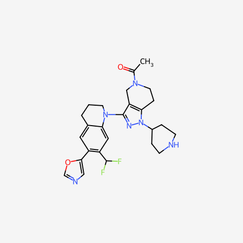 CC(=O)N1CCc2c(c(N3CCCc4cc(-c5cnco5)c(C(F)F)cc43)nn2C2CCNCC2)C1